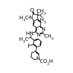 Cc1nc(NC(C)c2cccc(C3=CN(C(=O)O)CCC3)c2F)c2cc3c(cc2n1)C(C)(C)C(=O)N3C